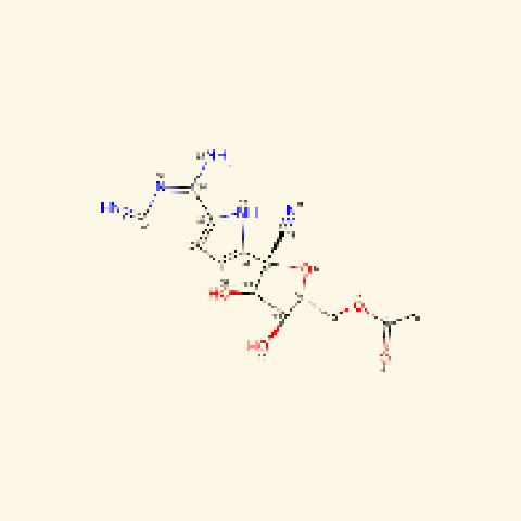 CC(=O)OC[C@H]1O[C@@](C#N)(c2ccc(/C(N)=N\C=N)[nH]2)[C@H](O)[C@@H]1O